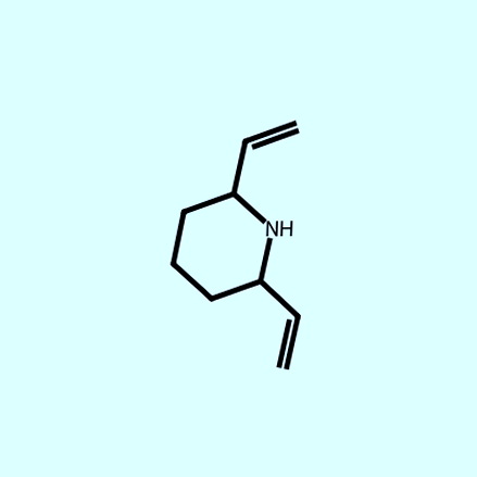 C=CC1CCCC(C=C)N1